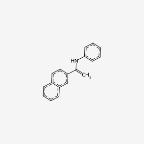 C=C(Nc1ccccc1)c1ccc2ccccc2c1